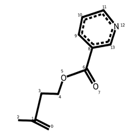 C=C(C)CCOC(=O)c1cccnc1